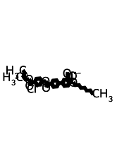 CCCCCCCCOc1ccc(-c2ccc(C(=O)Oc3ccc(C(=O)OC[C@@H](C)CC)c(Cl)c3)cc2)cc1[N+](=O)[O-]